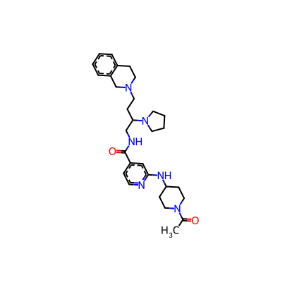 CC(=O)N1CCC(Nc2cc(C(=O)NCC(CCN3CCc4ccccc4C3)N3CCCC3)ccn2)CC1